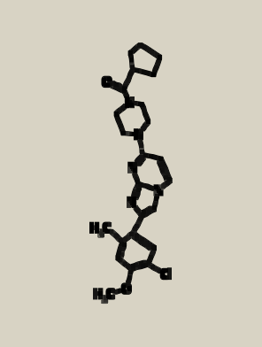 COc1cc(C)c(-c2cn3ccc(N4CCN(C(=O)C5CCCC5)CC4)nc3n2)cc1Cl